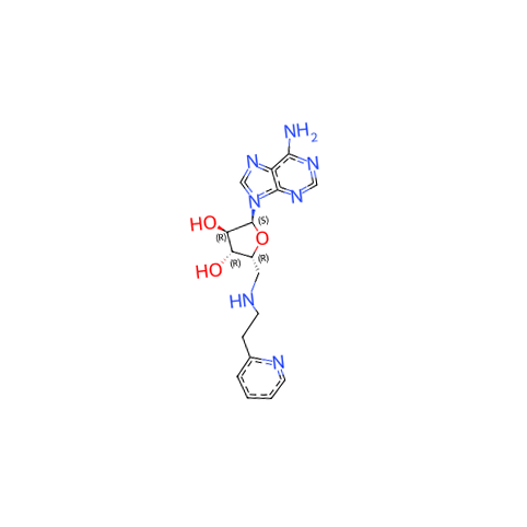 Nc1ncnc2c1ncn2[C@H]1O[C@H](CNCCc2ccccn2)[C@H](O)[C@H]1O